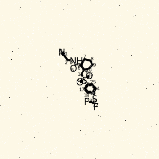 N#CCNC(=O)[C@@H]1CCCC[C@H]1CS(=O)(=O)c1ccc(SC(F)F)cc1